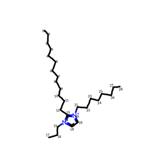 CCCCCCCCCCCCCc1n(CCC)cc[n+]1CCCCCCCC